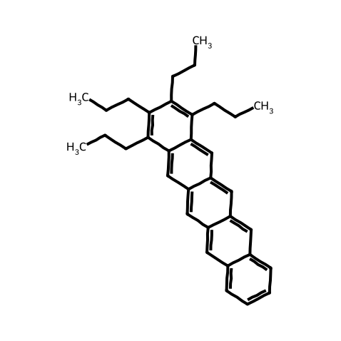 CCCc1c(CCC)c(CCC)c2cc3cc4cc5ccccc5cc4cc3cc2c1CCC